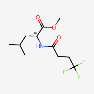 COC(=O)[C@@H](CC(C)C)NC(=O)CCC(F)(F)F